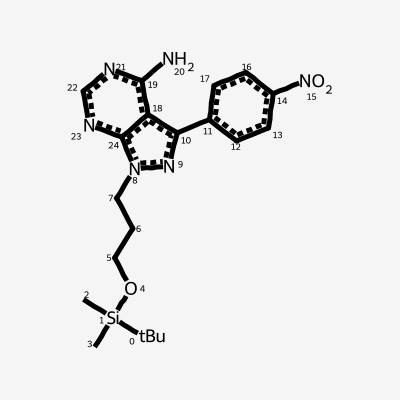 CC(C)(C)[Si](C)(C)OCCCn1nc(-c2ccc([N+](=O)[O-])cc2)c2c(N)ncnc21